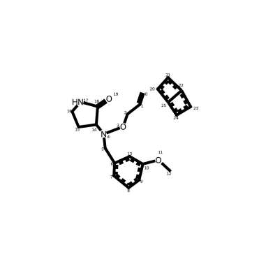 C=CCON(Cc1cccc(OC)c1)C1CCNC1=O.c1cc2ccc1-2